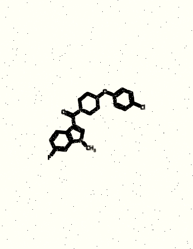 Cn1cc(C(=O)N2CCC(Oc3ccc(Cl)cc3)CC2)c2ccc(F)cc21